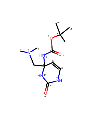 CN(C)CC1(NC(=O)OC(C)(C)C)C=CNC(=O)N1